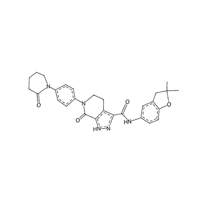 CC1(C)Cc2cc(NC(=O)c3n[nH]c4c3CCN(c3ccc(N5CCCCC5=O)cc3)C4=O)ccc2O1